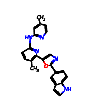 Cc1ccnc(Nc2ccc(C)c(-c3cnc(-c4ccc5[nH]ccc5c4)o3)n2)c1